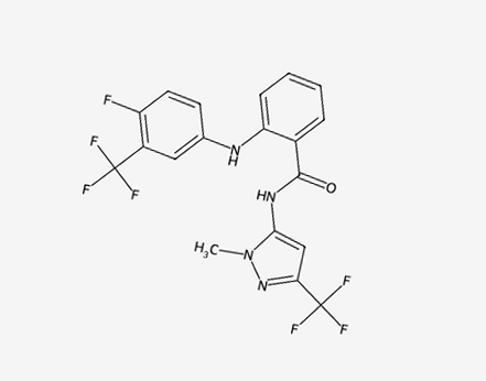 Cn1nc(C(F)(F)F)cc1NC(=O)c1ccccc1Nc1ccc(F)c(C(F)(F)F)c1